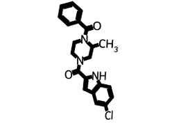 CC1CN(C(=O)c2cc3cc(Cl)ccc3[nH]2)CCN1C(=O)c1ccccc1